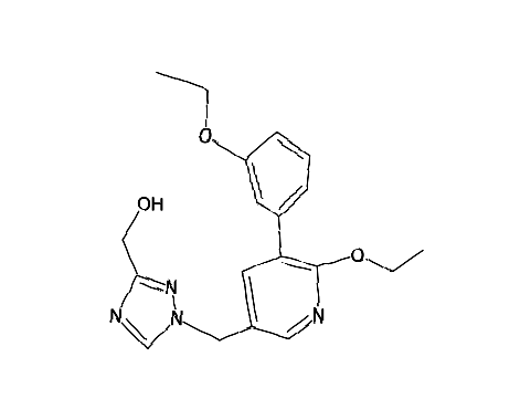 CCOc1cccc(-c2cc(Cn3cnc(CO)n3)cnc2OCC)c1